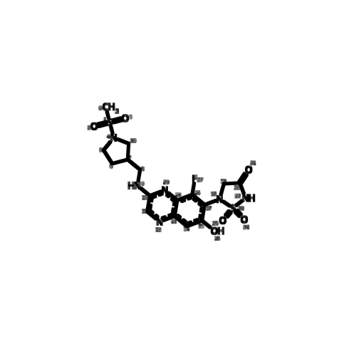 CS(=O)(=O)N1CCC(CNc2cnc3cc(O)c(N4CC(=O)NS4(=O)=O)c(F)c3n2)C1